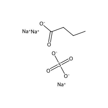 CCCC(=O)[O-].O=S(=O)([O-])[O-].[Na+].[Na+].[Na+]